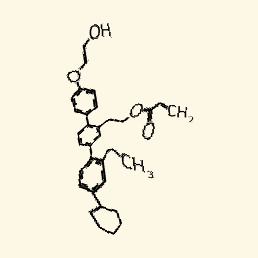 C=CC(=O)OCCc1cc(-c2ccc(C3CCCCC3)cc2CC)ccc1-c1ccc(OCCO)cc1